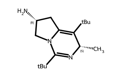 C[C@@H]1N=C(C(C)(C)C)N2C[C@H](N)CC2=C1C(C)(C)C